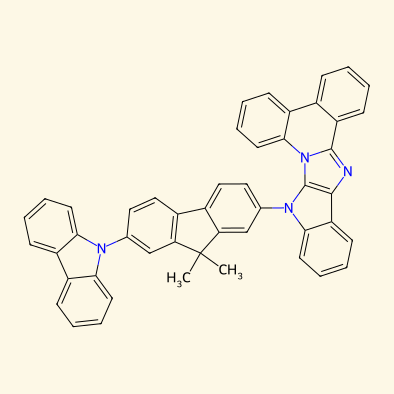 CC1(C)c2cc(-n3c4ccccc4c4ccccc43)ccc2-c2ccc(-n3c4ccccc4c4nc5c6ccccc6c6ccccc6n5c43)cc21